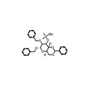 CC(C)(C)[Si](C)(C)O[C@@H]1[C@H](OCc2ccccc2)[C@@H](OCc2ccccc2)O[C@@H]2COC(c3ccccc3)O[C@@H]12